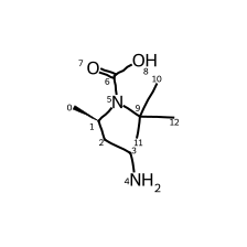 C[C@H](CCN)N(C(=O)O)C(C)(C)C